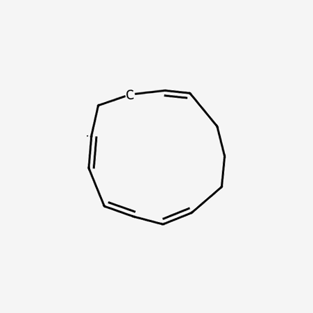 [C]1=CC=CC=CCCCC=CCC1